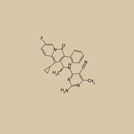 Cc1nc(N)nc(N[C@@H](C)c2c(-c3ccccc3)c(=O)n3cc(F)ccc3c2C2CC2)c1C#N